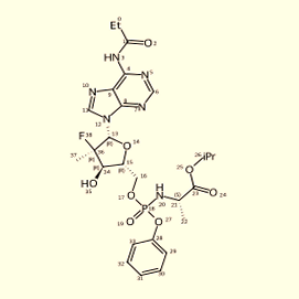 CCC(=O)Nc1ncnc2c1ncn2[C@@H]1O[C@H](COP(=O)(N[C@@H](C)C(=O)OC(C)C)Oc2ccccc2)[C@@H](O)[C@@]1(C)F